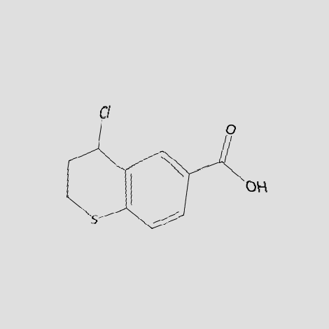 O=C(O)c1ccc2c(c1)C(Cl)CCS2